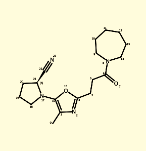 Cc1nc(CCC(=O)N2CCCCCC2)oc1N1CCC[C@H]1C#N